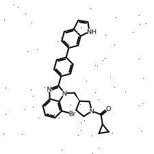 O=C(C1CC1)N1CC[C@@H](Cn2c(-c3ccc(-c4ccc5cc[nH]c5c4)cc3)nc3cccc(Br)c32)C1